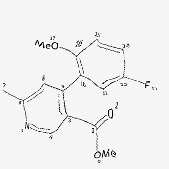 COC(=O)c1cnc(C)cc1-c1cc(F)ccc1OC